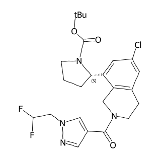 CC(C)(C)OC(=O)N1CCC[C@H]1c1cc(Cl)cc2c1CN(C(=O)c1cnn(CC(F)F)c1)CC2